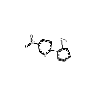 Cc1ccccc1-c1ccc([N+](=O)[O-])cn1